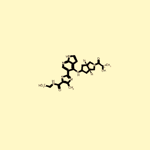 Cc1nc(-c2cnc3[nH]ccc3c2NC2C[C@@H]3CN(C(=O)[C@H](C)O)C[C@@H]3C2)sc1C(=O)NCC(=O)O